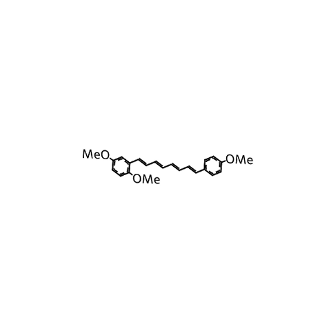 COc1ccc(C=CC=CC=CC=Cc2cc(OC)ccc2OC)cc1